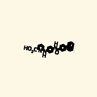 O=C(Nc1ccc(Nc2cccc(C(=O)O)n2)cc1)c1ccc(C23CC4CC(CC(C4)C2)C3)cc1